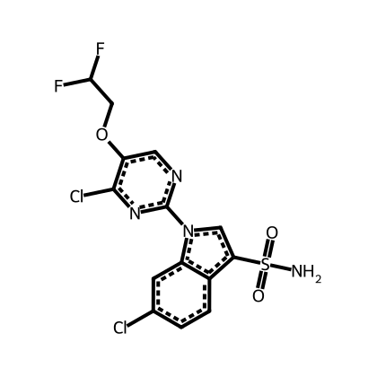 NS(=O)(=O)c1cn(-c2ncc(OCC(F)F)c(Cl)n2)c2cc(Cl)ccc12